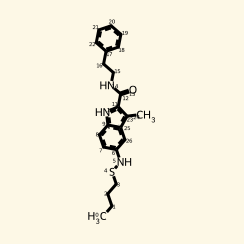 CCCCSNc1ccc2[nH]c(C(=O)NCCc3ccccc3)c(C)c2c1